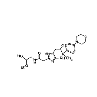 CCOC(O)CNC(=O)Cc1nc2c([nH]1)C=C(Cl)C(C)(c1ccc(N3CCOCC3)cc1)N2